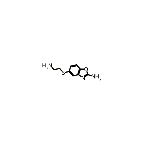 NCCSc1ccc2oc(N)nc2c1